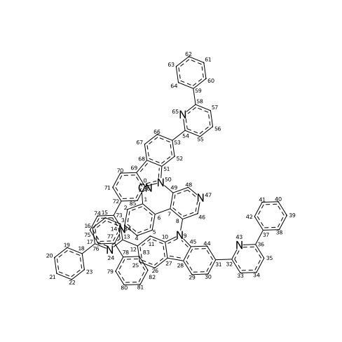 N#Cc1ccccc1-c1c(-n2c3cc(-c4cccc(-c5ccccc5)n4)ccc3c3ccc(-c4cccc(-c5ccccc5)n4)cc32)cncc1-n1c2cc(-c3cccc(-c4ccccc4)n3)ccc2c2ccc(-c3cccc(-c4ccccc4)n3)cc21